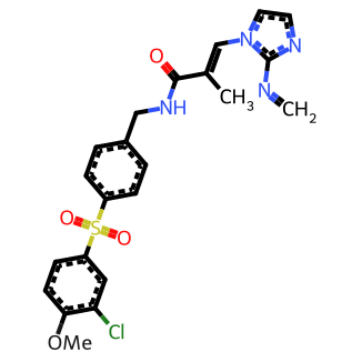 C=Nc1nccn1/C=C(\C)C(=O)NCc1ccc(S(=O)(=O)c2ccc(OC)c(Cl)c2)cc1